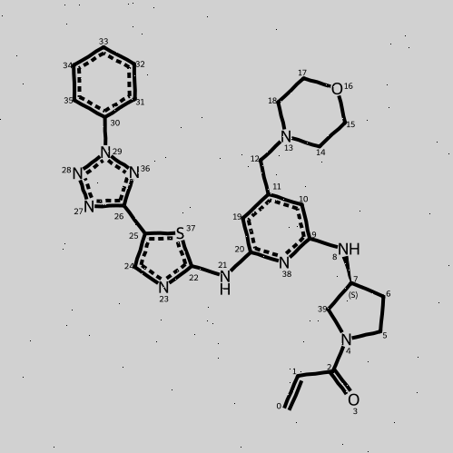 C=CC(=O)N1CC[C@H](Nc2cc(CN3CCOCC3)cc(Nc3ncc(-c4nnn(-c5ccccc5)n4)s3)n2)C1